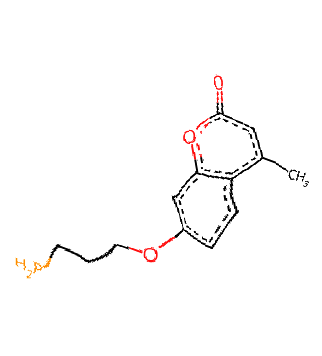 Cc1cc(=O)oc2cc(OCCCP)ccc12